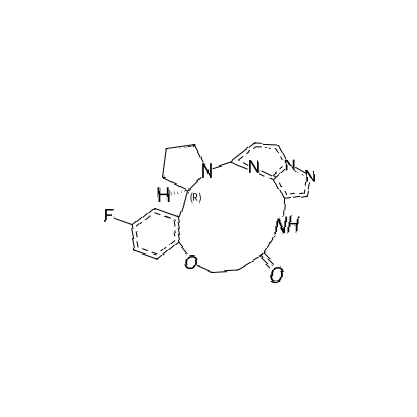 O=C1CCOc2ccc(F)cc2[C@H]2CCCN2c2ccn3ncc(c3n2)N1